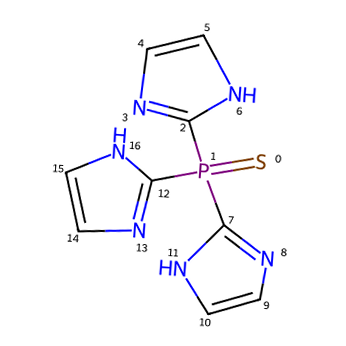 S=P(c1ncc[nH]1)(c1ncc[nH]1)c1ncc[nH]1